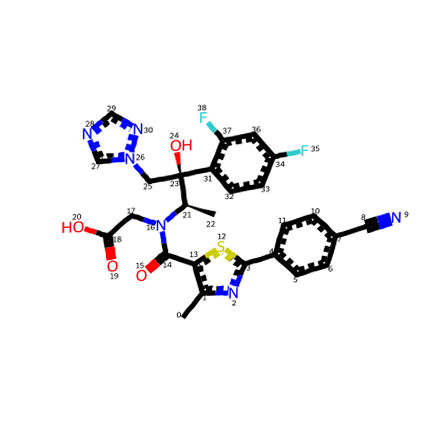 Cc1nc(-c2ccc(C#N)cc2)sc1C(=O)N(CC(=O)O)[C@H](C)[C@](O)(Cn1cncn1)c1ccc(F)cc1F